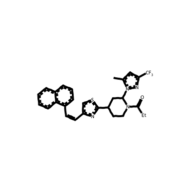 CCC(=O)N1CCC(c2nc(/C=C\c3cccc4ccccc34)cs2)CC1n1nc(C(F)(F)F)cc1C